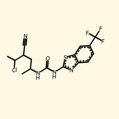 CC(CC(C#N)C(C)Cl)NC(=O)Nc1nc2ccc(C(F)(F)F)cc2s1